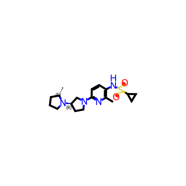 Cc1nc(N2CC[C@@H](N3CCC[C@@H]3C)C2)ccc1NS(=O)(=O)C1CC1